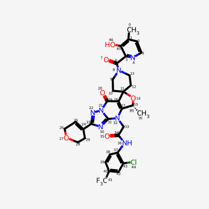 Cc1ccnc(C(=O)N2CCC3(CC2)O[C@H](C)c2c3c(=O)n3nc(C4=CCOCC4)nc3n2CC(=O)Nc2ccc(C(F)(F)F)cc2Cl)c1O